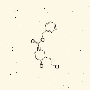 O=C1CCN(C(=O)OCc2ccccc2)CC1CCCl